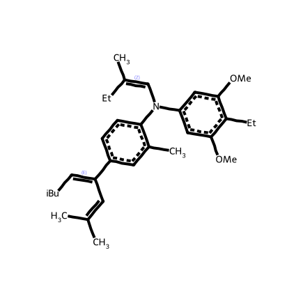 CC/C(C)=C\N(c1cc(OC)c(CC)c(OC)c1)c1ccc(/C(C=C(C)C)=C/C(C)CC)cc1C